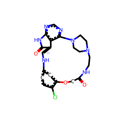 O=C1COc2cc(ccc2Cl)N/C=C2\C(=O)Nc3ncnc(c32)N2CCN(CCN1)CC2